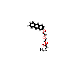 C=CC(=O)OCCOCCOc1ccc2cc3ccccc3cc2c1